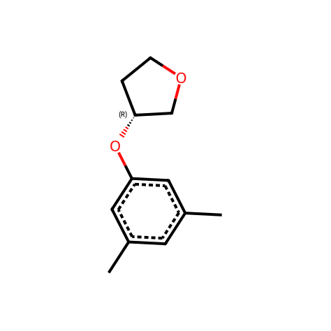 Cc1cc(C)cc(O[C@@H]2CCOC2)c1